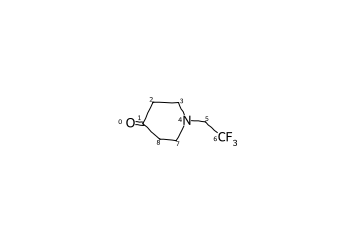 O=C1CCN(CC(F)(F)F)CC1